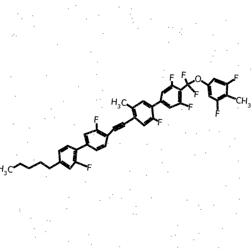 CCCCCc1ccc(-c2ccc(C#Cc3cc(F)c(-c4cc(F)c(C(F)(F)Oc5cc(F)c(C)c(F)c5)c(F)c4)cc3C)c(F)c2)c(F)c1